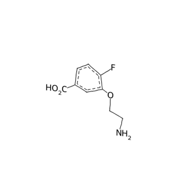 NCCOc1cc(C(=O)O)ccc1F